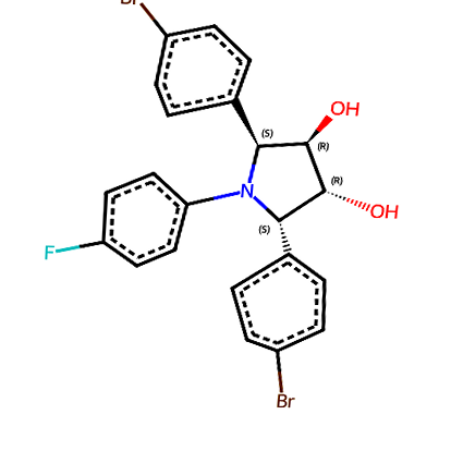 O[C@H]1[C@H](O)[C@H](c2ccc(Br)cc2)N(c2ccc(F)cc2)[C@H]1c1ccc(Br)cc1